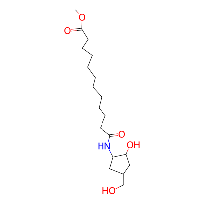 COC(=O)CCCCCCCCCCC(=O)NC1CC(CO)CC1O